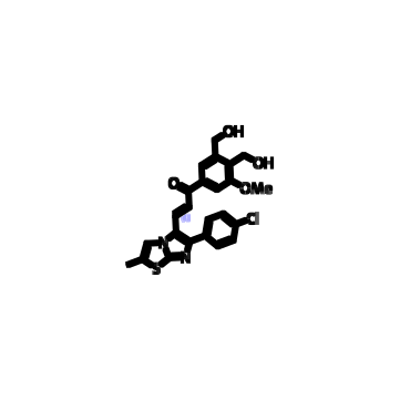 COc1cc(C(=O)/C=C/c2c(-c3ccc(Cl)cc3)nc3sc(C)cn23)cc(CO)c1CO